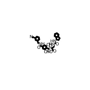 N#Cc1cccc(CNC(=O)c2cc(Cl)c(C(=O)NC(CNC(=O)N[C@@H]3CCc4ccccc43)C(=O)O)c(Cl)c2)c1